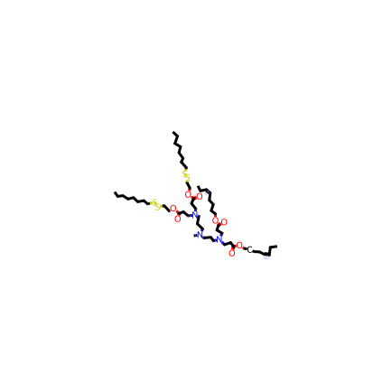 CC/C=C\CCCCOC(=O)CCN(CCCN(C)CCCN(CCC(=O)OCCSSCCCCCCCC)CCC(=O)OCCSSCCCCCCCC)CCC(=O)OCCCC/C=C\CC